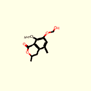 COc1c(OCO)cc(C)c2c1C(=O)OC(C)C2